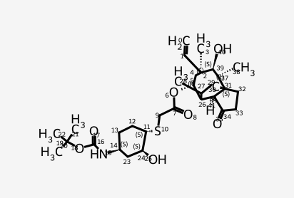 C=C[C@]1(C)C[C@@H](OC(=O)CS[C@H]2CC[C@H](NC(=O)OC(C)(C)C)C[C@@H]2O)C2C(C)CC[C@]3(CCC(=O)[C@@H]23)[C@@H](C)[C@@H]1O